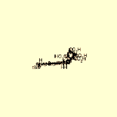 CC(C)(C)OC(=O)NCCOCCOCCOCCOCCNC(=S)Nc1ccc(CC2CN(CC(=O)O)CCN(CC(=O)O)CCN(CC(=O)O)CN2CC(=O)O)cc1